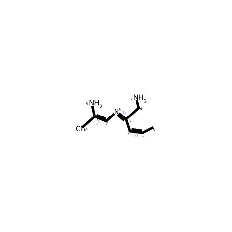 C\C=C/C(CN)=N\C=C(/N)Cl